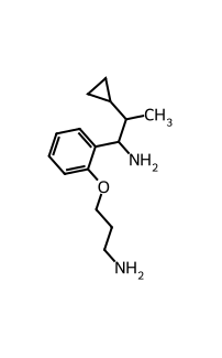 CC(C1CC1)C(N)c1ccccc1OCCCN